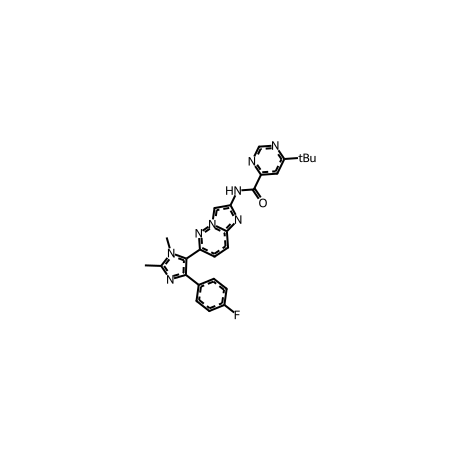 Cc1nc(-c2ccc(F)cc2)c(-c2ccc3nc(NC(=O)c4cc(C(C)(C)C)ncn4)cn3n2)n1C